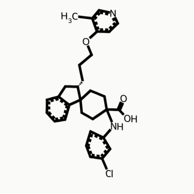 Cc1cnccc1OCCC[C@H]1Cc2ccccc2C12CCC(Nc1cccc(Cl)c1)(C(=O)O)CC2